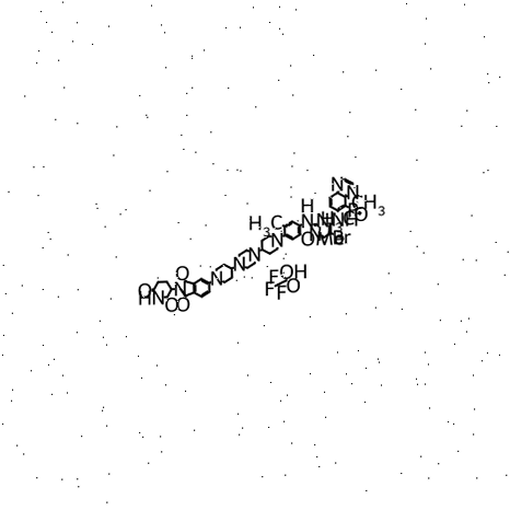 COc1cc(N2CCC(N3CCN(C4CCN(c5ccc6c(c5)C(=O)N(C5CCC(=O)NC5=O)C6=O)CC4)CC3)CC2)c(C)cc1Nc1ncc(Br)c(Nc2ccc3nccnc3c2P(C)(C)=O)n1.O=C(O)C(F)(F)F